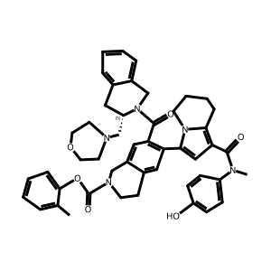 Cc1ccccc1OC(=O)N1CCc2cc(-c3cc(C(=O)N(C)c4ccc(O)cc4)c4n3CCCC4)c(C(=O)N3Cc4ccccc4C[C@H]3CN3CCOCC3)cc2C1